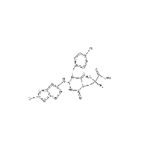 CCc1nc2ccc(NC3NC(=O)N(CC(C)(C)C(=O)OC)C(=O)N3Cc3ccc(Cl)cc3)cc2s1